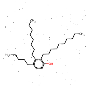 CCCCCCCCCCc1c(O)ccc(CCCCC)c1CCCCCCCC